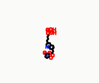 O=C(Cc1ccc2cc(CCCCOP(=O)(O)O)cnc2c1)ON1C(=O)CCC1=O